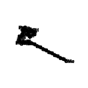 CC[C@H](C)[C@@H]([C@@H](CC(=O)N1CCC[C@H]1C[C@@H](C)C(=O)N[C@H](C)[C@@H](O)c1ccccc1)OC)N(C)C(=O)[C@@H](NC(=O)[C@H](C(C)C)N(C)C(=O)OCc1ccc(NC(=O)[C@H](C)NC(=O)[C@@H](NC(=O)c2ccc(-c3nnc(COCCOCCOCCOCCOCCOCCOCCOCCOCCOCCOCCOCCOC)nn3)cc2)C(C)C)cc1)C(C)C